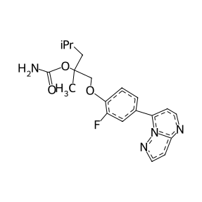 CC(C)CC(C)(COc1ccc(-c2ccnc3ccnn23)cc1F)OC(N)=O